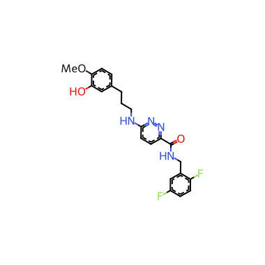 COc1ccc(CCCNc2ccc(C(=O)NCc3cc(F)ccc3F)nn2)cc1O